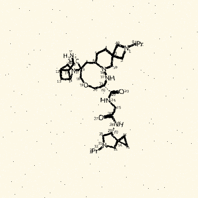 CC(C)N1CC2(CCC3CC(C)(N4CC5CC4C5CN)COC[C@@H](C(=O)NCC(=O)N[C@H]4CN(C(C)C)CC45CC5)NN3C2)C1